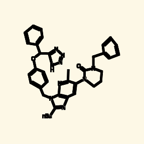 CCCCc1nc2cc(N3CCCN(Cc4ccccc4)C3=O)c(C)nc2n1Cc1ccc(OC(c2ccccc2)c2nnn[nH]2)cc1